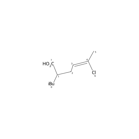 CCC(C)C(C/C=C(/C)Cl)C(=O)O